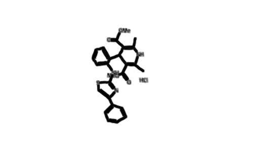 COC(=O)C1=C(C)NC(C)=C(C(=O)OC)C1c1ccccc1Nc1nc(-c2ccccc2)cs1.Cl